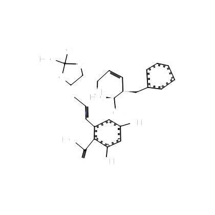 Cc1cc(C)c(C(=O)O)c(/C=C/C[C@@H]2OC(C)(C)O[C@@H]2C(O)/C=C\[C@@H](Cc2ccccc2)[C@H](C)O)c1